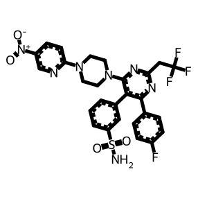 NS(=O)(=O)c1cccc(-c2c(-c3ccc(F)cc3)nc(CC(F)(F)F)nc2N2CCN(c3ccc([N+](=O)[O-])cn3)CC2)c1